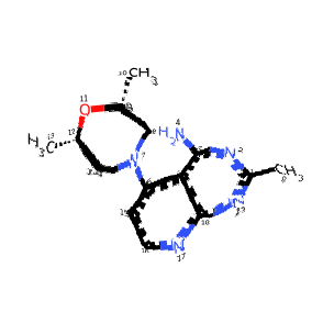 Cc1nc(N)c2c(N3C[C@@H](C)O[C@@H](C)C3)ccnc2n1